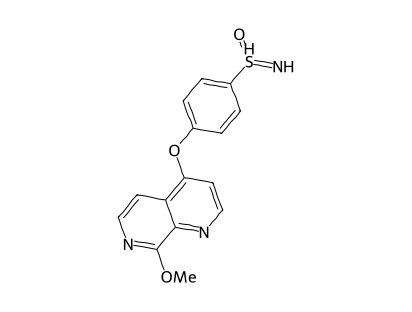 COc1nccc2c(Oc3ccc([SH](=N)=O)cc3)ccnc12